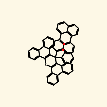 c1ccc(-c2cccc3cccc(-c4ccc(C5(c6ccccc6)c6c(c7ccccc7c7ccccc67)Sc6c5c5ccccc5c5ccccc65)cc4)c23)cc1